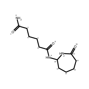 NC(=O)CCCCC(=O)NC1CCCCC(=O)N1